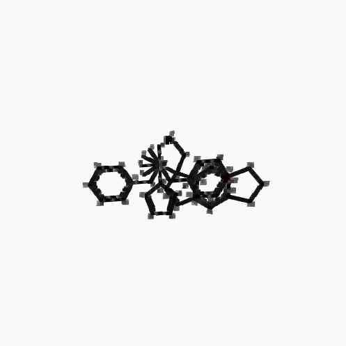 CC(C)C[C]1([Hf]([CH3])([CH3])([CH3])([CH3])([CH3])([CH2]c2ccccc2)([CH2]c2ccccc2)[CH]2C=CC=C2)C=Cc2cc3c(cc21)CCC3